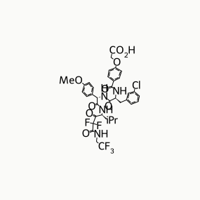 COc1ccc([C@H](NC(=O)[C@H](Cc2cccc(Cl)c2)NC(=O)c2ccc(OCC(=O)O)cc2)C(=O)N[C@H](C(=O)C(F)(F)C(=O)NCC(F)(F)F)C(C)C)cc1